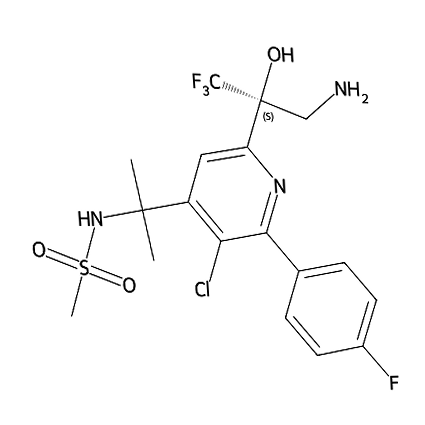 CC(C)(NS(C)(=O)=O)c1cc([C@@](O)(CN)C(F)(F)F)nc(-c2ccc(F)cc2)c1Cl